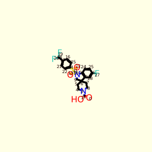 O=C(O)N1CCC2(CC1)CN(S(=O)(=O)c1ccc(C(F)F)cc1)c1ccc(F)cc12